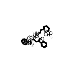 Cn1c(CCNONC(Cc2coc3ccccc23)B2OC3CC4CC(C3O2)C4(C)C)cccc1=O